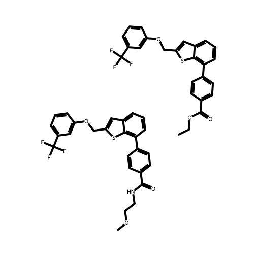 CCOC(=O)c1ccc(-c2cccc3cc(COc4cccc(C(F)(F)F)c4)sc23)cc1.COCCNC(=O)c1ccc(-c2cccc3cc(COc4cccc(C(F)(F)F)c4)sc23)cc1